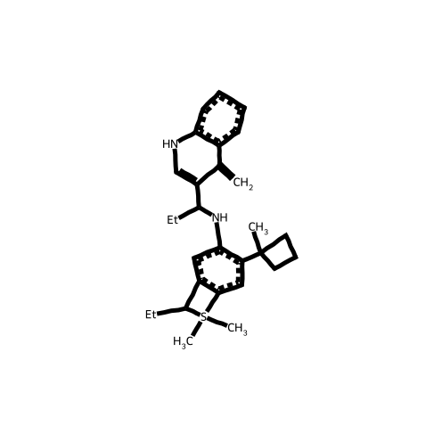 C=C1C(C(CC)Nc2cc3c(cc2C2(C)CCC2)S(C)(C)C3CC)=CNc2ccccc21